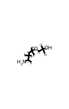 CC(N)C(C)(C)CC(C)(C)OCC(C)(C)O